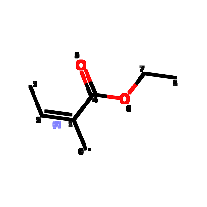 [CH2]/C(=C/C)C(=O)OCC